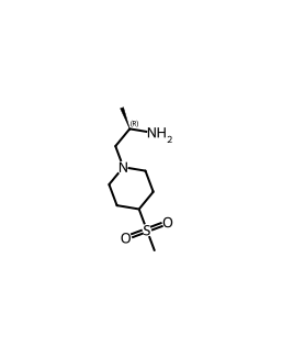 C[C@@H](N)CN1CCC(S(C)(=O)=O)CC1